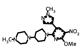 COc1nc(N2CCC(N3CCN(C)CC3)CC2)c(-c2cnn(C)c2)cc1[N+](=O)[O-]